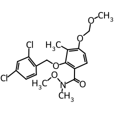 COCOc1ccc(C(=O)N(C)OC)c(OCc2ccc(Cl)cc2Cl)c1C